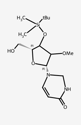 COC1C(O[Si](C)(C)C(C)(C)C)[C@@H](CO)O[C@H]1N1C=CC(=O)NC1